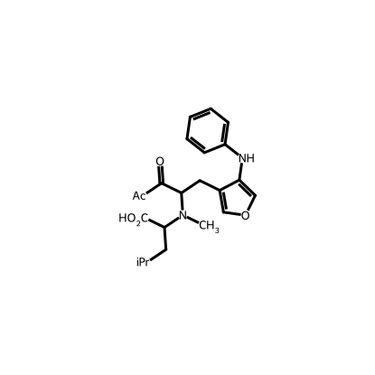 CC(=O)C(=O)C(Cc1cocc1Nc1ccccc1)N(C)C(CC(C)C)C(=O)O